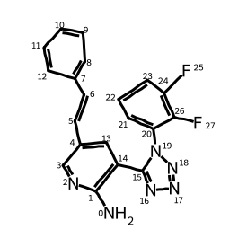 Nc1ncc(C=Cc2ccccc2)cc1-c1nnnn1-c1cccc(F)c1F